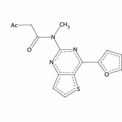 CC(=O)CC(=O)N(C)c1nc(-c2ccco2)c2sccc2n1